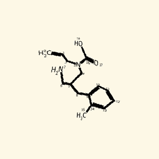 C=CCN(CC(CN)Cc1ccccc1C)C(=O)O